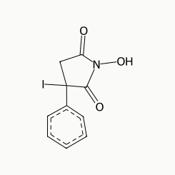 O=C1CC(I)(c2ccccc2)C(=O)N1O